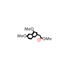 COC(=O)Cc1cc(OC)c2cc(OC)ccc2c1